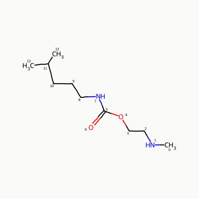 CNCCOC(=O)NCCCC(C)C